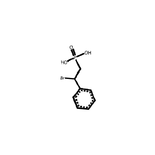 O=P(O)(O)CC(Br)c1ccccc1